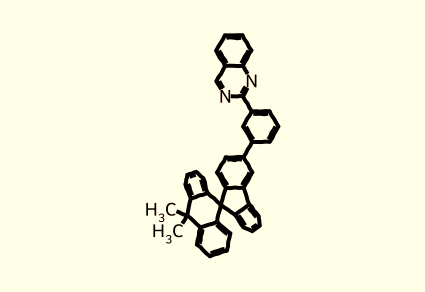 CC1(C)c2ccccc2C2(c3ccccc3-c3cc(-c4cccc(-c5ncc6ccccc6n5)c4)ccc32)c2ccccc21